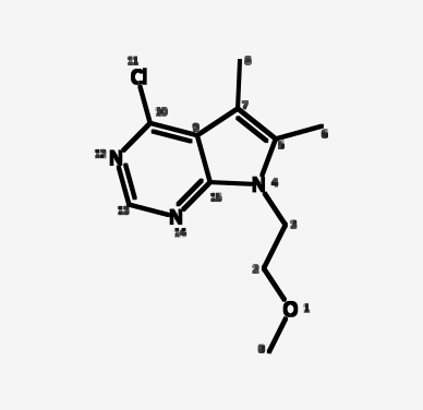 COCCn1c(C)c(C)c2c(Cl)ncnc21